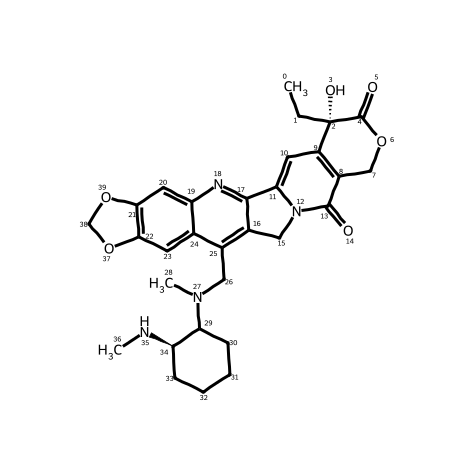 CC[C@@]1(O)C(=O)OCc2c1cc1n(c2=O)Cc2c-1nc1cc3c(cc1c2CN(C)C1CCCC[C@H]1NC)OCO3